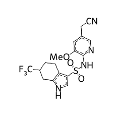 COc1cc(CC#N)cnc1NS(=O)(=O)c1c[nH]c2c1CCC(C(F)(F)F)C2